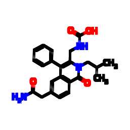 CC(C)Cn1c(CNC(=O)O)c(-c2ccccc2)c2cc(CC(N)=O)ccc2c1=O